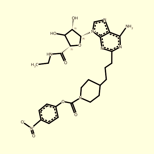 CCNC(=O)[C@H]1O[C@@H](n2cnc3c(N)nc(CCCC4CCN(C(=O)Oc5ccc([N+](=O)[O-])cc5)CC4)nc32)[C@@H](O)C1O